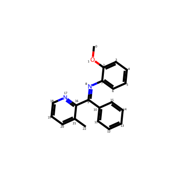 COc1ccccc1N=C(c1ccccc1)c1ncccc1C